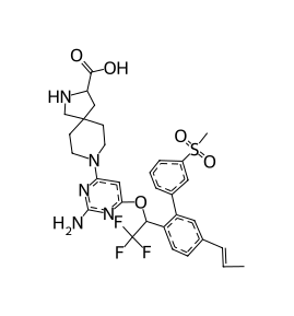 CC=Cc1ccc(C(Oc2cc(N3CCC4(CC3)CNC(C(=O)O)C4)nc(N)n2)C(F)(F)F)c(-c2cccc(S(C)(=O)=O)c2)c1